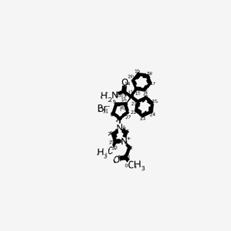 CC(=O)C[n+]1cn([C@@H]2CC[C@@H](C(C(N)=O)(c3ccccc3)c3ccccc3)C2)cc1C.[Br-]